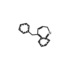 C1=CC(Cc2ccccc2)=c2ccccc2=NC1